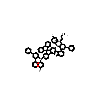 C=C/C=C(\C)c1cc(-c2ccccc2)ccc1N(c1ccc(F)cc1)c1cc2c(c3oc4ccccc4c13)-c1ccc(N(c3ccc(F)cc3)c3ccc(-c4ccccc4)cc3-c3ccccc3)cc1C21c2ccccc2-c2ccccc21